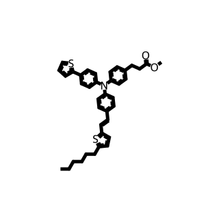 CCCCCCc1ccc(/C=C/c2ccc(N(c3ccc(CCC(=O)OC)cc3)c3ccc(-c4cccs4)cc3)cc2)s1